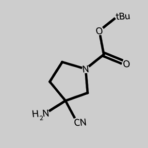 CC(C)(C)OC(=O)N1CCC(N)(C#N)C1